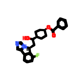 O=C(O[C@H]1CC[C@H](C(O)C[C@H]2c3c(F)cccc3-c3cncn32)CC1)c1ccccc1